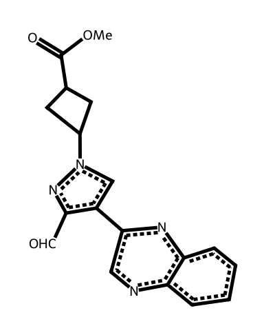 COC(=O)C1CC(n2cc(-c3cnc4ccccc4n3)c(C=O)n2)C1